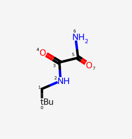 CC(C)(C)CNC(=O)C(N)=O